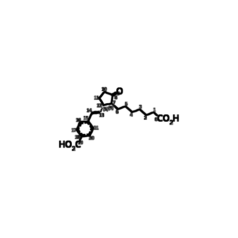 O=C(O)CCCCCC[C@@H]1C(=O)CC[C@H]1C=Cc1ccc(C(=O)O)cc1